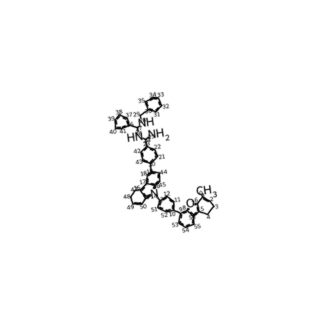 CC1=CCCc2c1oc1c(-c3ccc(-n4c5c(c6cc(-c7ccc(C(N)NC(NCc8ccccc8)c8ccccc8)cc7)ccc64)CCC=C5)cc3)cccc21